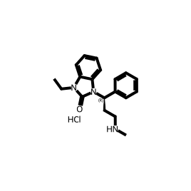 CCn1c(=O)n([C@H](CCNC)c2ccccc2)c2ccccc21.Cl